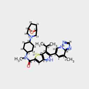 Cc1cc(-c2[nH]c3cc(C(=O)N(C)C4CCC(N5CC6CCC(C5)O6)CC4)sc3c2C(C)C)cn2ncnc12